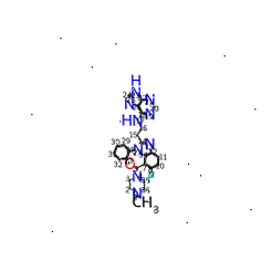 CN1CCN(C(=O)c2c(F)ccc3nc(CCNc4ncnc5[nH]cnc45)n(-c4ccccc4)c23)CC1